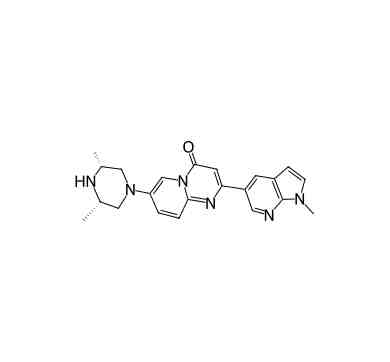 C[C@@H]1CN(c2ccc3nc(-c4cnc5c(ccn5C)c4)cc(=O)n3c2)C[C@H](C)N1